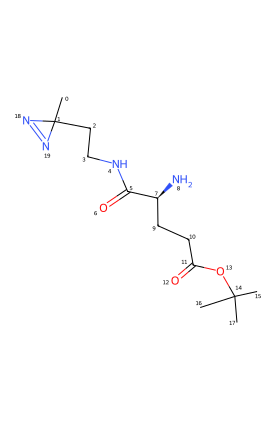 CC1(CCNC(=O)[C@@H](N)CCC(=O)OC(C)(C)C)N=N1